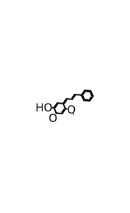 COC1=CC(=O)C(O)=CC1=CC=Cc1ccccc1